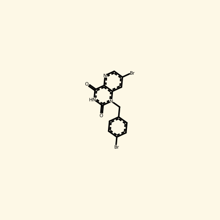 O=c1[nH]c(=O)n(Cc2ccc(Br)cc2)c2cc(Br)cnc12